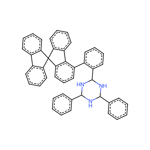 c1ccc(C2NC(c3ccccc3)NC(c3ccccc3-c3cccc4c3-c3ccccc3C43c4ccccc4-c4ccccc43)N2)cc1